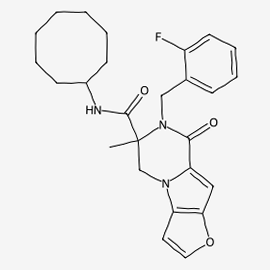 CC1(C(=O)NC2CCCCCCC2)Cn2c(cc3occc32)C(=O)N1Cc1ccccc1F